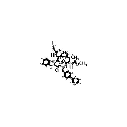 CC[C@H](C)[C@H](NC(=O)OC)C(=O)NN(Cc1ccc(-c2cnccn2)cc1)C[C@H](O)[C@H](Cc1ccccc1)NC(=O)[C@@H](NC(=O)OC)C(C)C